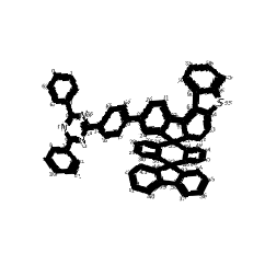 c1ccc(-c2nc(-c3ccccc3)nc(-c3ccc(-c4ccc5c(c4)C4(c6ccccc6C6(c7ccccc7-c7ccccc76)c6ccccc64)c4ccc6sc7ccccc7c6c4-5)cc3)n2)cc1